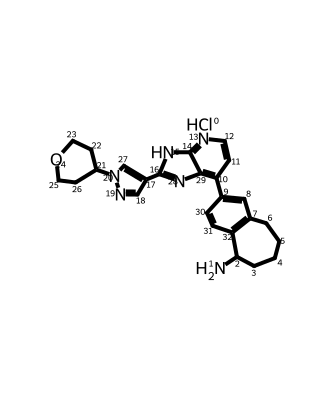 Cl.NC1CCCCc2cc(-c3ccnc4[nH]c(-c5cnn(C6CCOCC6)c5)nc34)ccc21